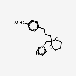 COc1ccc(CCCC2(Cn3ccnc3)OCCCO2)cc1